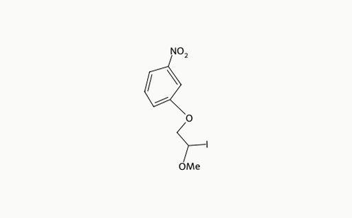 COC(I)COc1cccc([N+](=O)[O-])c1